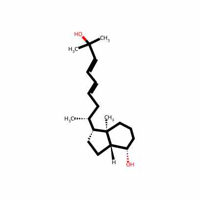 C[C@H](C/C=C/C=C/C(C)(C)O)[C@H]1CC[C@H]2[C@@H](O)CCC[C@]12C